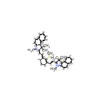 CSC1=C(/C=C/C2=[N+](C)c3ccc4ccccc4c3C2(C)C)CCC/C1=C\C=C1\N(C)c2ccc3ccccc3c2C1(C)C